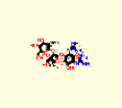 CN[C@@H]1[C@H](O[C@H]2[C@H](O[C@@H]3[C@@H](O)[C@H](O)[C@@H](N=C(N)N)[C@H](O)[C@H]3N=C(N)N)O[C@@H](C)[C@]2(O)CO)O[C@@H](CO)[C@H](O)[C@H]1O